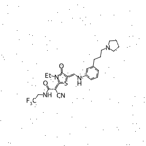 CCn1c(=C(C#N)C(=O)NCC(F)(F)F)sc(=CNc2cccc(CCCN3CCCC3)c2)c1=O